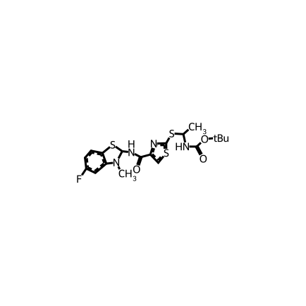 CC(NC(=O)OC(C)(C)C)Sc1nc(C(=O)NC2Sc3ccc(F)cc3N2C)cs1